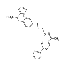 CC(=NOCCOc1ccc(CC(C(=O)O)c2ccc[nH]2)cc1)c1ccc(-c2ccccc2)cc1